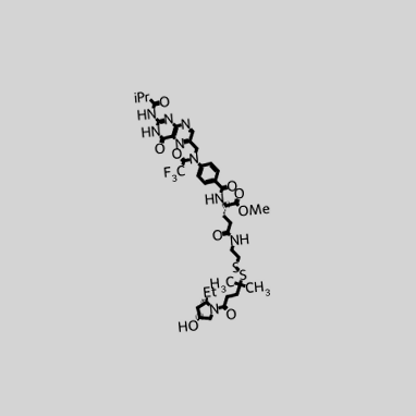 CC[C@@H]1C[C@@H](O)CN1C(=O)CCC(C)(C)SSCCNC(=O)CC[C@H](NC(=O)c1ccc(N(Cc2cnc3nc(NC(=O)C(C)C)[nH]c(=O)c3n2)C(=O)C(F)(F)F)cc1)C(=O)OC